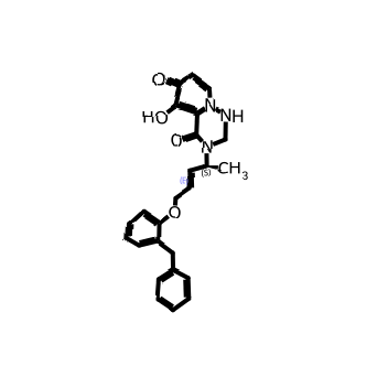 C[C@@H](/C=C/COc1ccccc1Cc1ccccc1)N1CNn2ccc(=O)c(O)c2C1=O